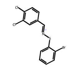 Clc1ccc(/C=N/Sc2ccccc2Br)cc1Cl